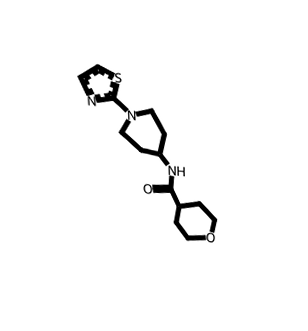 O=C(NC1CCN(c2nccs2)CC1)C1CCOCC1